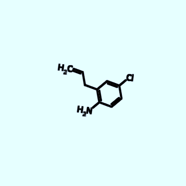 C=CCc1cc(Cl)ccc1N